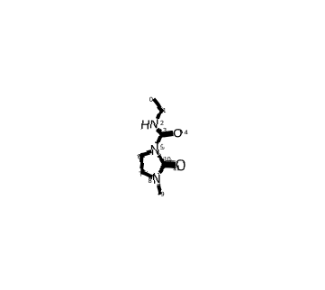 CCNC(=O)N1CCN(C)C1=O